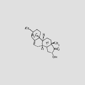 CCC1CC[C@@]2(C)C(=CC[C@@H]3[C@H]2CC[C@]2(C)C(=O)C(O)C[C@@H]32)C1